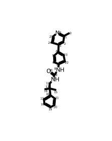 Cc1cc(-c2ccc(NC(=O)NCC(C)(C)c3ccccc3)cc2)ccn1